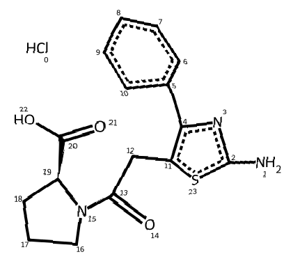 Cl.Nc1nc(-c2ccccc2)c(CC(=O)N2CCC[C@H]2C(=O)O)s1